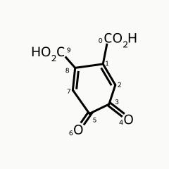 O=C(O)C1=CC(=O)C(=O)C=C1C(=O)O